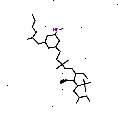 C#CC(C(CC)CCC(C)(C)CCC1CC(CC(C)CCCC)CC(PC)C1)C(CC(C)CC)C(C)(C)C